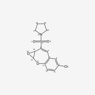 O=S(=O)(C1=Cc2cc(Cl)ccc2OC2OC12)N1CCCC1